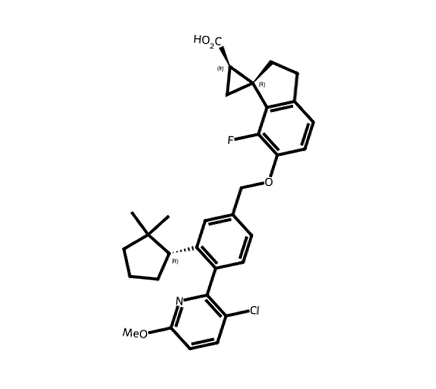 COc1ccc(Cl)c(-c2ccc(COc3ccc4c(c3F)[C@]3(CC4)C[C@H]3C(=O)O)cc2[C@@H]2CCCC2(C)C)n1